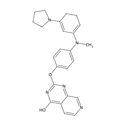 CN(C1=CCCC(N2CCCC2)=C1)c1ccc(Oc2nc(O)c3ccncc3n2)cc1